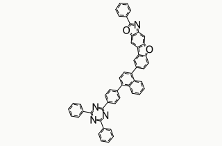 c1ccc(-c2nc(-c3ccccc3)nc(-c3ccc(-c4ccc(-c5ccc6oc7cc8nc(-c9ccccc9)oc8cc7c6c5)c5ccccc45)cc3)n2)cc1